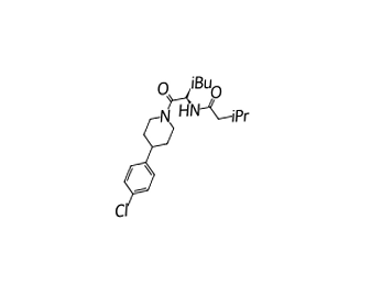 CC[C@H](C)[C@@H](NC(=O)CC(C)C)C(=O)N1CCC(c2ccc(Cl)cc2)CC1